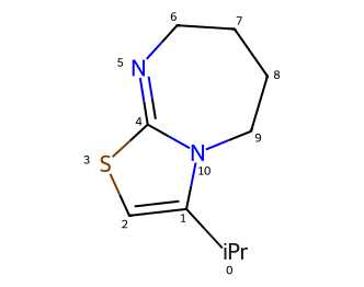 CC(C)C1=CSC2=NCCCCN12